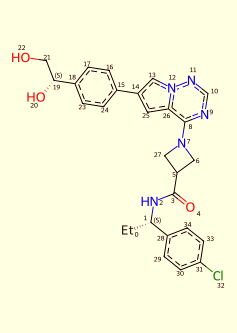 CC[C@H](NC(=O)C1CN(c2ncnn3cc(-c4ccc([C@H](O)CO)cc4)cc23)C1)c1ccc(Cl)cc1